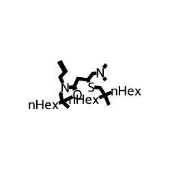 C=CCN(CC(C)(C)CCCCCC)C(=O)CC(CN(C)C)SCC(C)(CCCCCC)CCCCCC